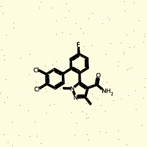 Cc1nn(C)c(-c2ccc(F)cc2-c2ccc(Cl)c(Cl)c2)c1C(N)=O